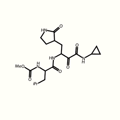 COC(=O)NC(CC(C)C)C(=O)NC(CC1CCNC1=O)C(=O)C(=O)NC1CC1